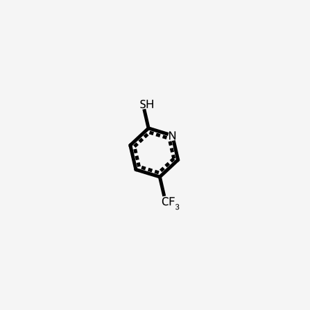 FC(F)(F)c1ccc(S)nc1